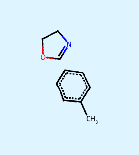 C1=NCCO1.Cc1ccccc1